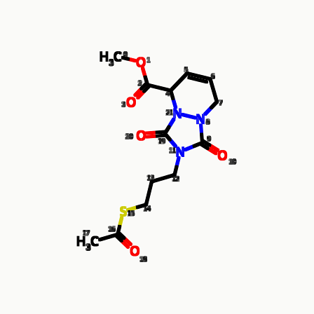 COC(=O)C1C=CCn2c(=O)n(CCCSC(C)=O)c(=O)n21